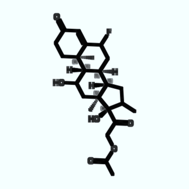 CC(=O)OCC(=O)[C@@]1(O)C(C)C[C@H]2[C@@H]3CC(F)C4=CC(=O)CC[C@]4(C)[C@H]3C(O)C[C@@]21C